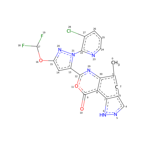 Cc1cc2cn[nH]c2c2c(=O)oc(-c3cc(OC(F)F)nn3-c3ncccc3Cl)nc12